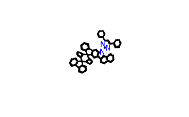 c1ccc(-c2cc(-c3ccccc3)nc(-n3c4cc5c(cc4c4ccc6ccccc6c43)C3(c4ccccc4-5)c4ccccc4C4(c5ccccc5-c5ccccc54)c4ccccc43)n2)cc1